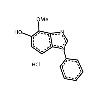 COc1c(O)ccc2c1ncn2-c1ccccc1.Cl